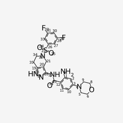 Nc1cc(N2CCOCC2)ccc1C(=O)Nc1n[nH]c2c1CN(S(=O)(=O)c1cc(F)cc(F)c1)CC2